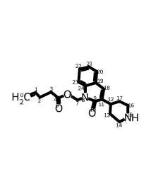 C=CCCC(=O)OCn1c(=O)c(C2CCNCC2)cc2ccccc21